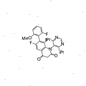 COc1cccc(F)c1-c1c(F)cc2c(c1F)N(c1c(C(C)C)ncnc1C(C)C)C(=O)CC2=O